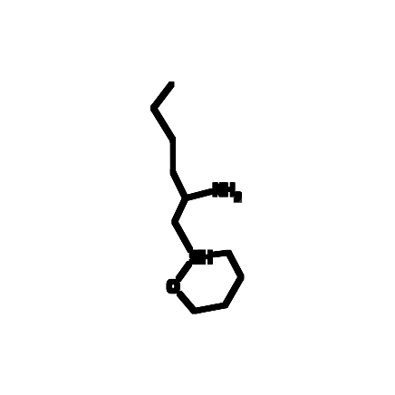 CCCCC(N)C[SiH]1CCCCO1